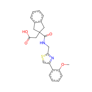 COc1ccccc1-c1csc(CNC(=O)C2(CC(=O)O)Cc3ccccc3C2)n1